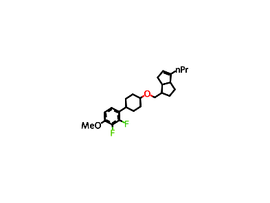 CCCC1=CCC2C(COC3CCC(c4ccc(OC)c(F)c4F)CC3)CCC12